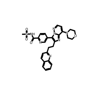 CS(=O)(=O)NC(=O)c1ccc(-c2c(CCc3ccc4ccccc4n3)nc3c(N4CCOCC4)ccnn23)cn1